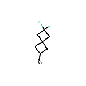 CC(C)C1CC2(C1)CC(F)(F)C2